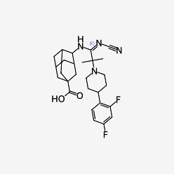 CC(C)(/C(=N\C#N)NC1C2CC3CC1CC(C(=O)O)(C3)C2)N1CCC(c2ccc(F)cc2F)CC1